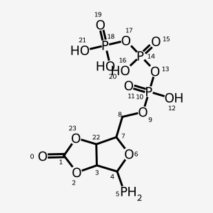 O=C1OC2C(P)OC(COP(=O)(O)OP(=O)(O)OP(=O)(O)O)C2O1